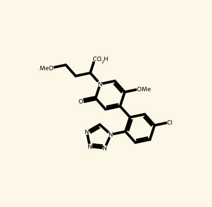 COCCC(C(=O)O)n1cc(OC)c(-c2cc(Cl)ccc2-n2cnnn2)cc1=O